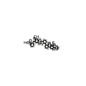 COc1nc(O[C@H]2CCc3c(-c4cccc(-c5ccc(C6=NCCN6)c(OC)n5)c4Cl)cccc32)c(Br)cc1CN1CCCC[C@H]1C(=O)O